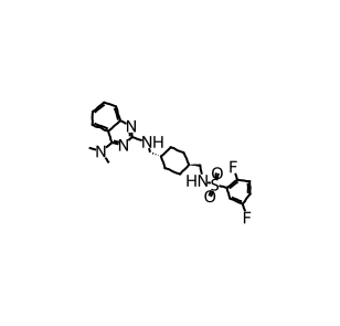 CN(C)c1nc(NC[C@H]2CC[C@H](CNS(=O)(=O)c3cc(F)ccc3F)CC2)nc2ccccc12